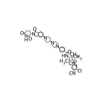 CC1(C)[C@H](NC(=O)c2ccc(N3CCN(C4CCN(c5ccc6c(c5)CN(C5CCC(=O)NC5=O)C6=O)CC4)CC3)cc2)C(C)(C)[C@H]1Oc1ccc(C#N)c(Cl)c1